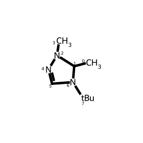 CC1N(C)N=CN1C(C)(C)C